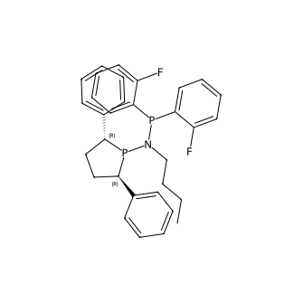 CCCCN(P(c1ccccc1F)c1ccccc1F)P1[C@@H](c2ccccc2)CC[C@@H]1c1ccccc1